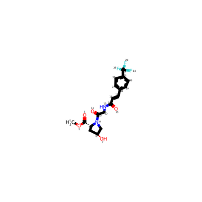 COC(=O)[C@H]1C[C@@H](O)CN1C(=O)CNC(=O)/C=C/c1ccc(C(F)(F)F)cc1